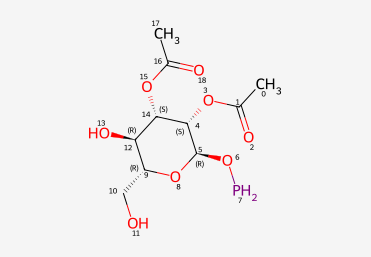 CC(=O)O[C@@H]1[C@@H](OP)O[C@H](CO)[C@@H](O)[C@@H]1OC(C)=O